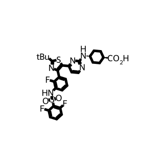 CC(C)(C)c1nc(-c2cccc(NS(=O)(=O)c3c(F)cccc3F)c2F)c(-c2ccnc(N[C@H]3CC[C@H](C(=O)O)CC3)n2)s1